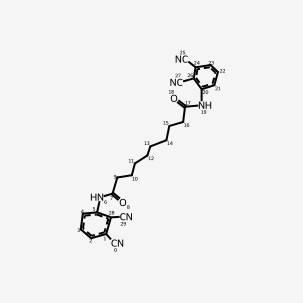 N#Cc1cccc(NC(=O)CCCCCCCCC(=O)Nc2cccc(C#N)c2C#N)c1C#N